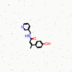 C/C(=C/C(=O)NCc1cccnc1)c1ccc(O)cc1